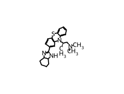 C[C@H](CN(C)C)N1c2ccccc2Sc2ccc(C3=NC4CCCCC4N3)cc21